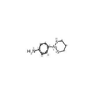 Nc1ccc([As]2SCCCS2)cc1